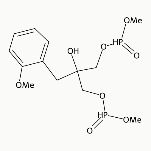 COc1ccccc1CC(O)(CO[PH](=O)OC)CO[PH](=O)OC